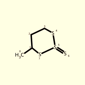 CC1CCSS(=S)S1